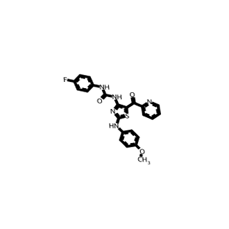 COc1ccc(Nc2nc(NC(=O)Nc3ccc(F)cc3)c(C(=O)c3ccccn3)s2)cc1